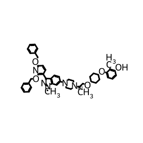 Cc1c(O)cccc1OC1CCC(OC[C@@H](C)N2CCN(c3ccc4c(-c5ccc(OCc6ccccc6)nc5OCc5ccccc5)nn(C)c4c3)CC2)CC1